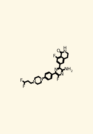 Nc1nc(F)c(-c2ccc(N3CCN(CCC(F)F)CC3)cc2)nc1-c1cc(F)c2c(c1)CCNC2=O